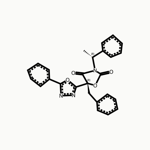 C[C@H](c1ccccc1)N1C(=O)O[C@](Cc2ccccc2)(c2nnc(-c3ccccc3)o2)C1=O